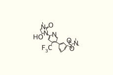 CN1CC(O)N(c2cc(C(F)(F)F)c(-c3cccc(S(=O)(=O)N(C)C)c3)cn2)C1=O